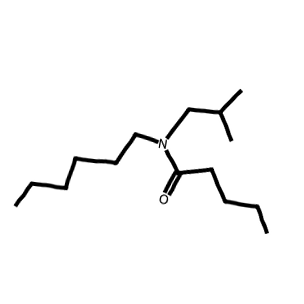 CCCCCCN(CC(C)C)C(=O)CCCC